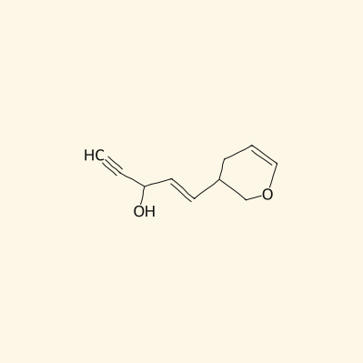 C#CC(O)C=CC1CC=COC1